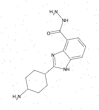 NNC(=O)c1cccc2[nH]c(C3CCC(N)CC3)nc12